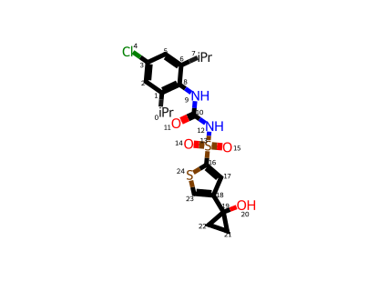 CC(C)c1cc(Cl)cc(C(C)C)c1NC(=O)NS(=O)(=O)c1cc(C2(O)CC2)cs1